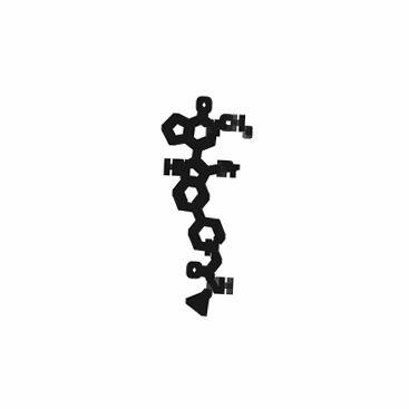 CC(C)c1c(-c2cn(C)c(=O)c3c2CCC3)[nH]c2ccc(C3CCN(CC(=O)NC4CC4)CC3)cc12